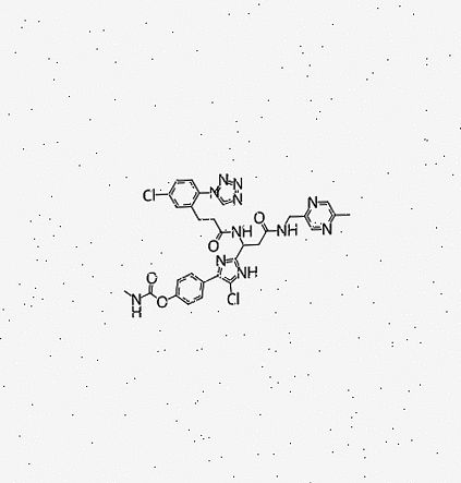 CNC(=O)Oc1ccc(-c2nc(C(CC(=O)NCc3cnc(C)cn3)NC(=O)CCc3cc(Cl)ccc3-n3cnnn3)[nH]c2Cl)cc1